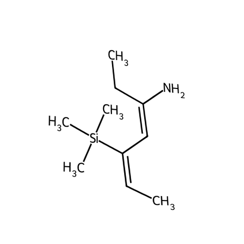 C/C=C(\C=C(\N)CC)[Si](C)(C)C